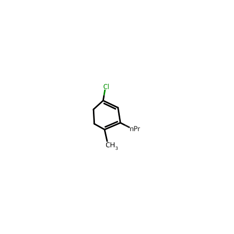 CCCC1=C(C)CCC(Cl)=C1